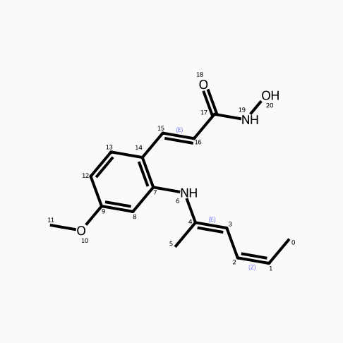 C/C=C\C=C(/C)Nc1cc(OC)ccc1/C=C/C(=O)NO